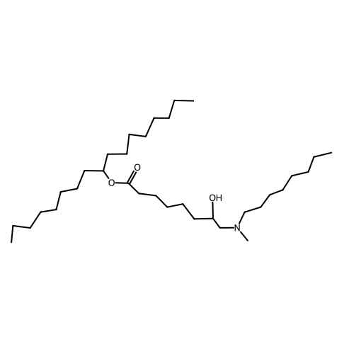 CCCCCCCCC(CCCCCCCC)OC(=O)CCCCCC(O)CN(C)CCCCCCCC